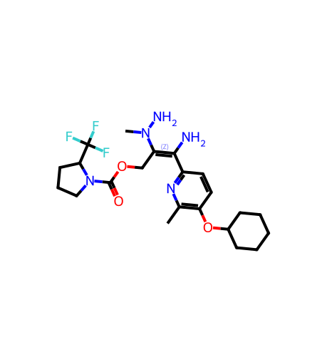 Cc1nc(/C(N)=C(\COC(=O)N2CCCC2C(F)(F)F)N(C)N)ccc1OC1CCCCC1